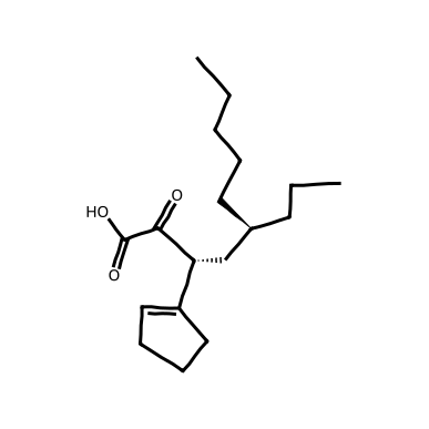 CCCCC[C@@H](CCC)C[C@@H](C(=O)C(=O)O)C1=CCCC1